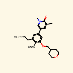 CNc1c(CCC=O)cc(-c2cc(C)c(=O)n(C)c2)cc1OCC1CCOCC1